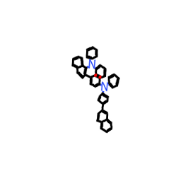 c1ccc(N(c2ccc(-c3ccc4ccccc4c3)cc2)c2ccc(-c3ccc4ccccc4c3N(c3ccccc3)c3ccccc3)cc2)cc1